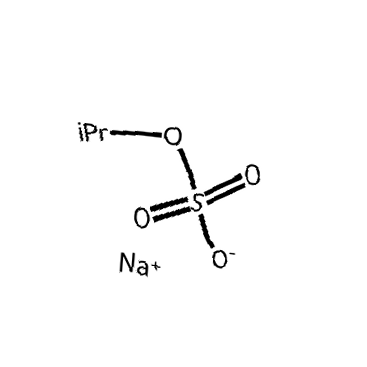 CC(C)OS(=O)(=O)[O-].[Na+]